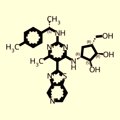 Cc1ccc([C@H](C)Nc2nc(C)c(-c3nc4cnccc4s3)c(N[C@@H]3C[C@H](CO)[C@@H](O)[C@H]3O)n2)cc1